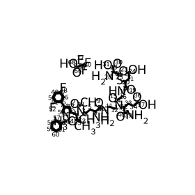 CC(=O)N(CCC(N)C(=O)NCCN(C(=O)CNC(=O)C(CC(=O)O)SCC(N)C(=O)O)C(CCC(=O)O)C(N)=O)C(c1cc(-c2cc(F)ccc2F)cn1Cc1ccccc1)C(C)(C)C.O=C(O)C(F)(F)F